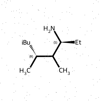 CCC(C)[C@@H](C)C(C)[C@@H](N)CC